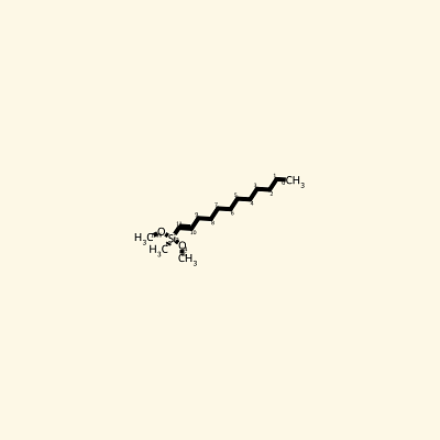 CCCCCCCCCC/C=C/[Si](C)(OC)OC